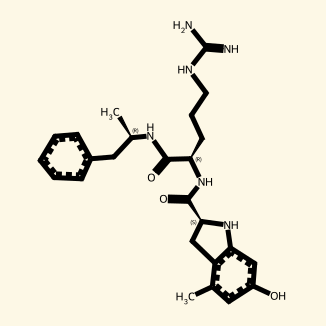 Cc1cc(O)cc2c1C[C@@H](C(=O)N[C@H](CCCNC(=N)N)C(=O)N[C@H](C)Cc1ccccc1)N2